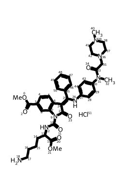 COC(=O)c1ccc2c(c1)N(C(=O)NC(CCCCN)C(=O)OC)C(=O)/C2=C(\Nc1ccc(N(C)C(=O)CN2CCN(C)CC2)cc1)c1ccccc1.Cl